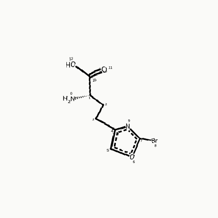 N[C@@H](CCc1coc(Br)n1)C(=O)O